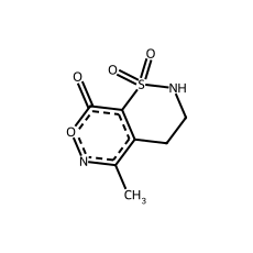 Cc1noc(=O)c2c1CCNS2(=O)=O